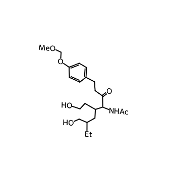 CCC(CO)CC(CCO)C(NC(C)=O)C(=O)CCc1ccc(OCOC)cc1